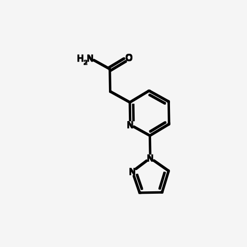 NC(=O)Cc1cccc(-n2cccn2)n1